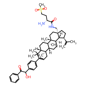 C=C(C)[C@@H]1CC[C@]2(CNC(=O)[C@H](N)CCS(C)(=O)=O)CC[C@]3(C)[C@H](CC[C@@H]4[C@@]5(C)CC=C(c6ccc(C(O)C(=O)c7ccccc7)cc6)C(C)(C)[C@@H]5CC[C@]43C)[C@@H]12